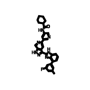 Cc1cc(F)cc(-c2cccc3[nH]c(-c4n[nH]c5cnc(-c6cncc(NC(=O)C7CCCCC7)c6)cc45)nc23)c1